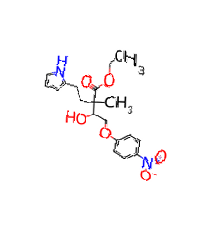 CCOC(=O)C(C)(CCc1ccc[nH]1)C(O)COc1ccc([N+](=O)[O-])cc1